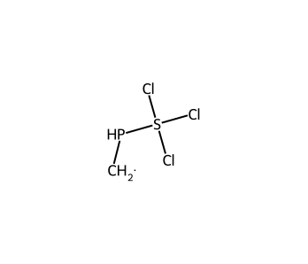 [CH2]PS(Cl)(Cl)Cl